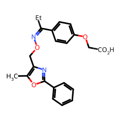 CCC(=NOCc1nc(-c2ccccc2)oc1C)c1ccc(OCC(=O)O)cc1